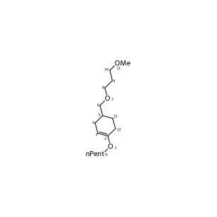 CCCCCOC1=CCC(COCCCOC)CC1